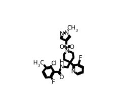 Cc1ccc(F)c(C(=O)NCC2(c3ncccc3F)CCN(S(=O)(=O)c3cnn(C)c3)CC2)c1Cl